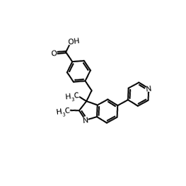 CC1=Nc2ccc(-c3ccncc3)cc2C1(C)Cc1ccc(C(=O)O)cc1